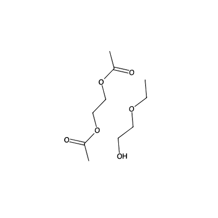 CC(=O)OCCOC(C)=O.CCOCCO